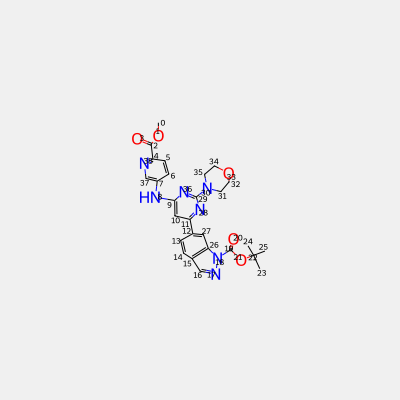 COC(=O)c1ccc(Nc2cc(-c3ccc4cnn(C(=O)OC(C)(C)C)c4c3)nc(N3CCOCC3)n2)cn1